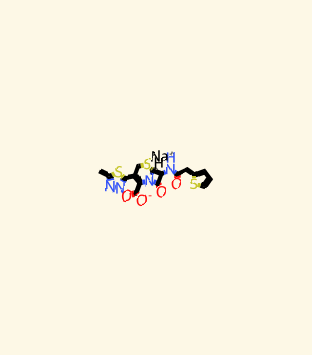 Cc1nnc(C2=C(C(=O)[O-])N3C(=O)C(NC(=O)Cc4cccs4)[C@@H]3SC2)s1.[Na+]